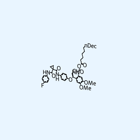 CCCCCCCCCCCCCCCC(=O)OCNc1cc(OC)c(OC)cc1/C(=C\C=O)Oc1ccc(NC(=O)C2(C(=O)Nc3ccc(F)cc3)CC2)cc1